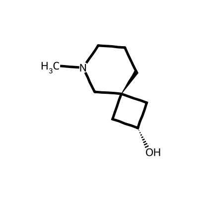 CN1CCC[C@]2(C1)C[C@@H](O)C2